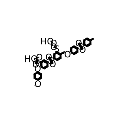 COc1ccc(Oc2ccc(S(=O)(=O)c3ccc(COc4ccc(S(=O)(=O)c5ccc(C)cc5)cc4)c(SOOO)c3)cc2S(=O)(=O)O)cc1